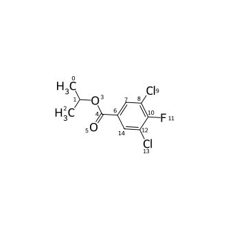 CC(C)OC(=O)c1cc(Cl)c(F)c(Cl)c1